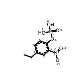 CCc1ccc(OP(=O)(O)O)c([N+](=O)[O-])c1